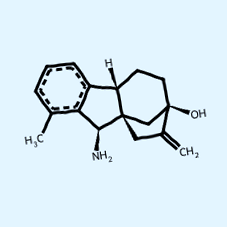 C=C1C[C@]23C[C@]1(O)CC[C@H]2c1cccc(C)c1[C@@H]3N